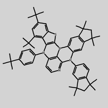 CC(C)(C)c1ccc(N2c3ccnc4c3B(c3cc5c(cc3N4c3ccc4c(c3)C(C)(C)CC4(C)C)C(C)(C)CC5(C)C)c3sc4cc(C(C)(C)C)cc(C(C)(C)C)c4c32)cc1